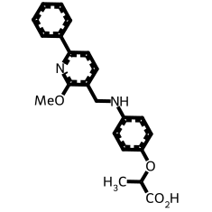 COc1nc(-c2ccccc2)ccc1CNc1ccc(OC(C)C(=O)O)cc1